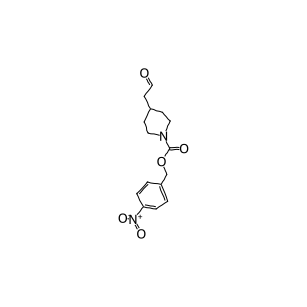 O=CCC1CCN(C(=O)OCc2ccc([N+](=O)[O-])cc2)CC1